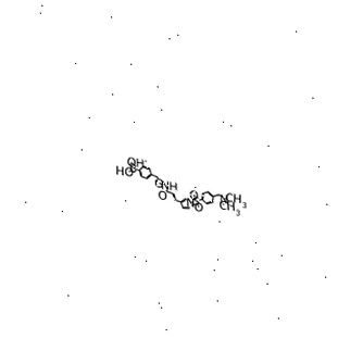 CN(C)Cc1ccc(S(=O)(=O)n2ccc(C=CC(=O)NOCc3ccc(B(O)O)cc3)c2)cc1